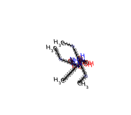 CCCCCCC/C=C\CCCCCCCCCN(CC(=O)N(CCCCCCCC/C=C\CCCCCCCC)CC(=O)N(CCCCCCCCCCCCCCCCCC)CC(=O)N(CCCCCCCC/C=C\CCCCCCCC)CC(N)=O)C(=O)CNC(CO)CO